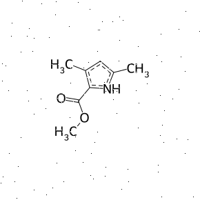 COC(=O)c1[nH]c(C)cc1C